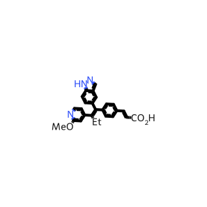 CCC(=C(c1ccc(C=CC(=O)O)cc1)c1ccc2[nH]ncc2c1)c1ccnc(OC)c1